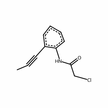 CC#Cc1ccccc1NC(=O)CCl